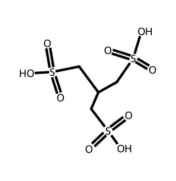 O=S(=O)(O)CC(CS(=O)(=O)O)CS(=O)(=O)O